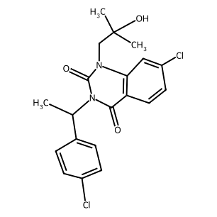 CC(c1ccc(Cl)cc1)n1c(=O)c2ccc(Cl)cc2n(CC(C)(C)O)c1=O